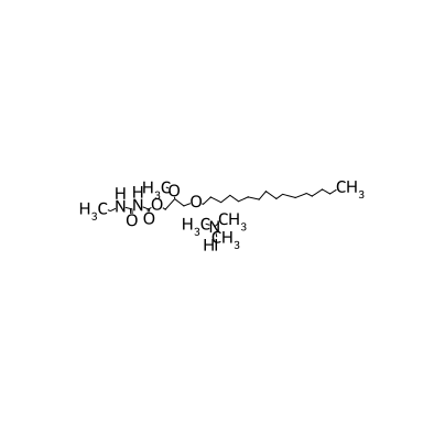 CCCCCCCCCCCCCCCCOCC(COC(=O)NC(=O)NCC)OC.CN(C)C.I